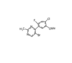 COc1cc(-c2nc(C)ncc2Br)c(F)cc1Cl